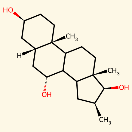 C[C@H]1CC2C3C(CC[C@]2(C)[C@H]1O)[C@@]1(C)CC[C@H](O)C[C@H]1C[C@H]3O